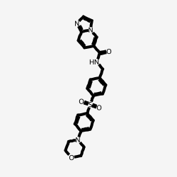 O=C(NCc1ccc(S(=O)(=O)c2ccc(N3CCOCC3)cc2)cc1)c1ccc2nccn2c1